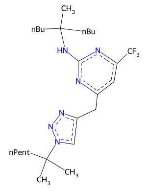 CCCCCC(C)(C)n1cc(Cc2cc(C(F)(F)F)nc(NC(C)(CCCC)CCCC)n2)nn1